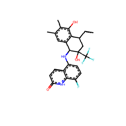 CCC1CC(O)(C(F)(F)F)C(Nc2ccc(F)c3[nH]c(=O)ccc23)c2cc(C)c(C)c(O)c21